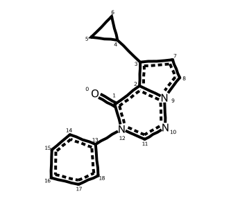 O=c1c2c(C3CC3)ccn2ncn1-c1ccccc1